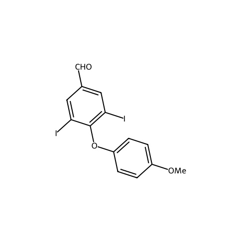 COc1ccc(Oc2c(I)cc(C=O)cc2I)cc1